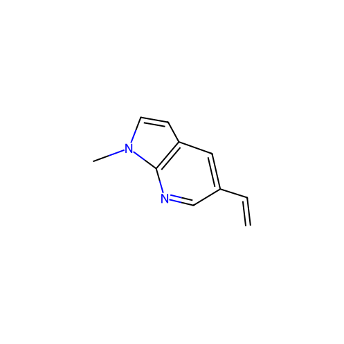 C=Cc1cnc2c(ccn2C)c1